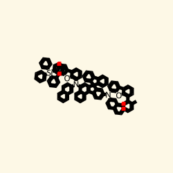 Cc1ccccc1-c1cccc2c1oc1c(N(c3ccc4c(c3)C3(c5ccccc5-c5ccccc53)c3cc(N(c5ccc6ccccc6c5)c5cccc6c5oc5c(-c7ccccc7[Si](c7ccccc7)(c7ccccc7)c7ccccc7)cccc56)c5ccccc5c3-4)c3ccc4ccccc4c3)cccc12